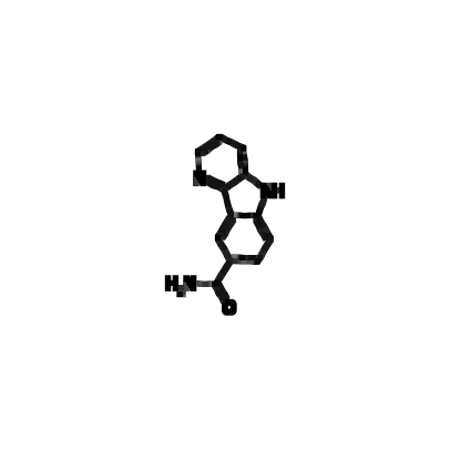 NC(=O)c1ccc2[nH]c3cccnc3c2c1